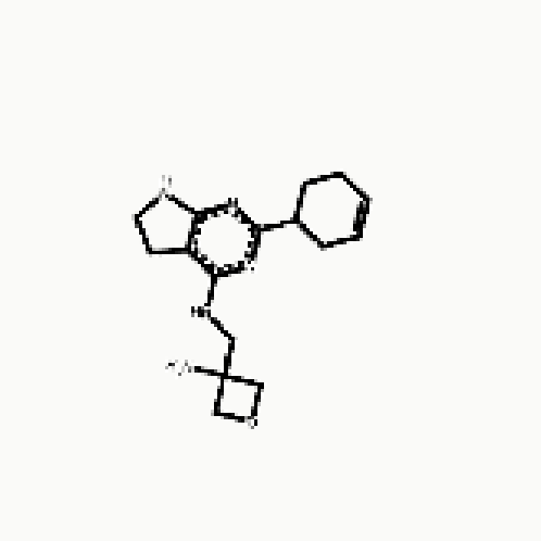 NC1(CNc2nc(C3CC=CCC3)nc3c2CCN3)COC1